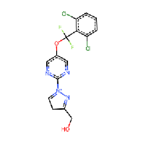 OCC1=N[N+](c2ncc(OC(F)(F)c3c(Cl)cccc3Cl)cn2)=CC1